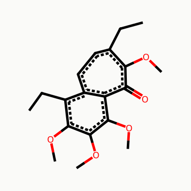 CCc1ccc2c(CC)c(OC)c(OC)c(OC)c2c(=O)c1OC